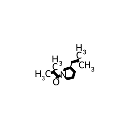 CC(C)C[C@H]1CCCN(C(=O)C(C)C)C1